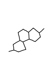 CC1CCC2C(CCC3CC(C)CCC32)C1